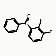 O=[P](c1ccccc1)c1cccc(F)c1F